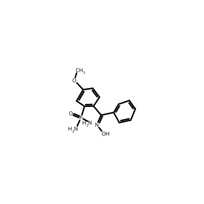 COc1ccc(C(=NO)c2ccccc2)c(P(N)(N)=O)c1